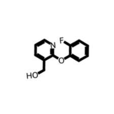 OCc1cccnc1Oc1ccccc1F